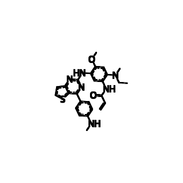 C=CC(=O)Nc1cc(Nc2nc(-c3ccc(NC)cc3)c3sccc3n2)c(OC)cc1N(C)CC